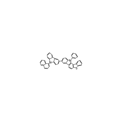 c1ccc(-n2c3ccc(-c4ccc5c(c4)c4ccccc4n5-c4cccc5ccccc45)cc3c3ccc4sc5ccccc5c4c32)cc1